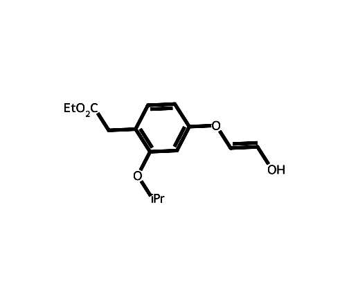 CCOC(=O)Cc1ccc(OC=CO)cc1OC(C)C